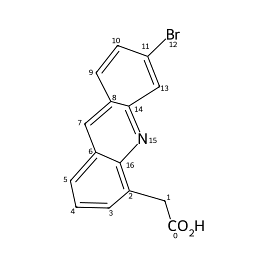 O=C(O)Cc1cccc2cc3ccc(Br)cc3nc12